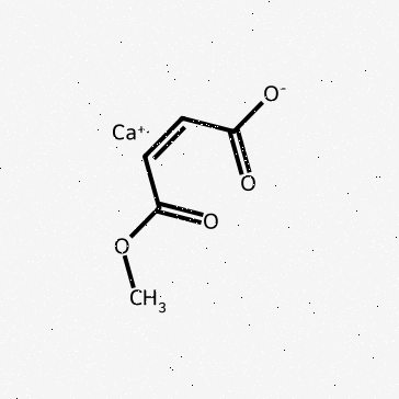 COC(=O)/C=C\C(=O)[O-].[Ca+]